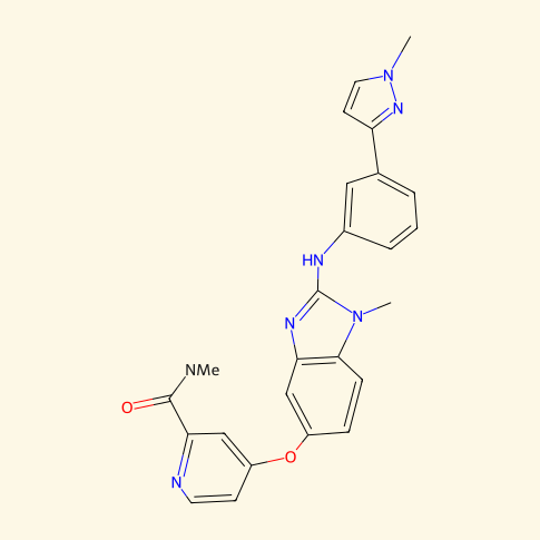 CNC(=O)c1cc(Oc2ccc3c(c2)nc(Nc2cccc(-c4ccn(C)n4)c2)n3C)ccn1